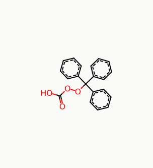 O=C(O)OOC(c1ccccc1)(c1ccccc1)c1ccccc1